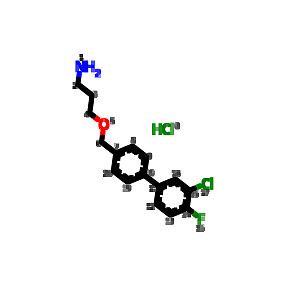 Cl.NCCCOCc1ccc(-c2ccc(F)c(Cl)c2)cc1